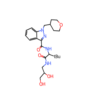 CC(C)(C)C(NC(=O)c1nn(CC2CCOCC2)c2ccccc12)C(=O)NCC(O)CO